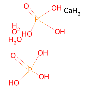 O.O.O=P(O)(O)O.O=P(O)(O)O.[CaH2]